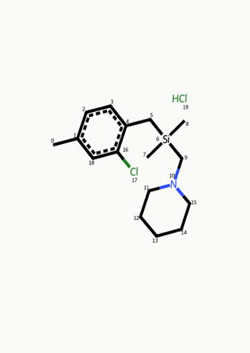 Cc1ccc(C[Si](C)(C)CN2CCCCC2)c(Cl)c1.Cl